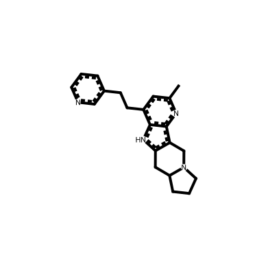 Cc1cc(CCc2cccnc2)c2[nH]c3c(c2n1)CN1CCCC1C3